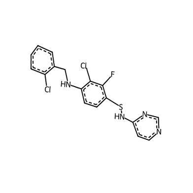 Fc1c(SNc2ccncn2)ccc(NCc2ccccc2Cl)c1Cl